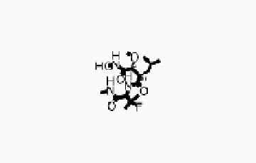 CNC(=O)C(NC(=O)[C@H](CC(C)C)[C@H](OC)C(=O)NO)C(C)(C)F